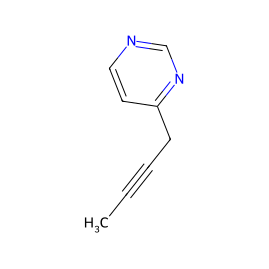 CC#CCc1ccncn1